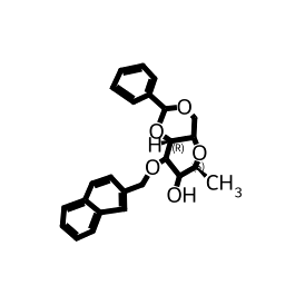 C[C@@H]1OC2COC(c3ccccc3)O[C@H]2C(OCc2ccc3ccccc3c2)C1O